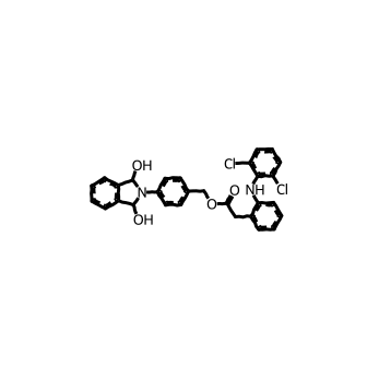 O=C(Cc1ccccc1Nc1c(Cl)cccc1Cl)OCc1ccc(N2C(O)c3ccccc3C2O)cc1